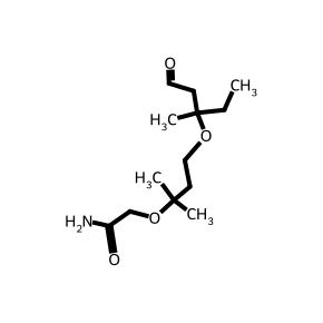 CCC(C)(CC=O)OCCC(C)(C)OCC(N)=O